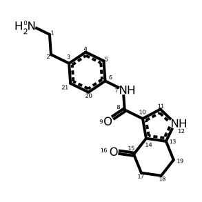 NCCc1ccc(NC(=O)c2c[nH]c3c2C(=O)CCC3)cc1